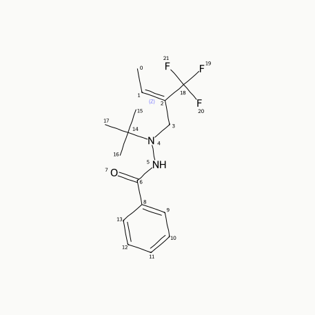 C/C=C(/CN(NC(=O)c1ccccc1)C(C)(C)C)C(F)(F)F